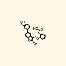 NCc1cccc(-c2ccc3oc(C4CC4)c(COc4ccccc4CC(=O)O)c3c2)c1